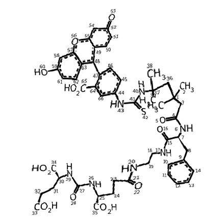 CC(C)(CC(=O)N[C@@H](Cc1ccccc1)C(=O)NCCNC(=O)CC[C@H](NC(=O)N[C@@H](CCC(=O)O)C(=O)O)C(=O)O)CC(C)(C)NC(=S)Nc1ccc(-c2c3ccc(=O)cc-3oc3cc(O)ccc23)c(C(=O)O)c1